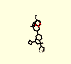 CC(CC(CC(C)C1CC1)C1CCC(C(C)(CC(C)C2CCC2)C2CCOC2)CC1)c1cccc(F)c1